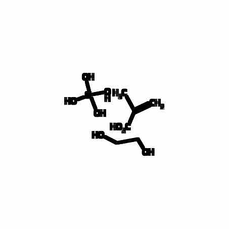 C=C(C)C(=O)O.OCCO.O[Si](O)(O)O